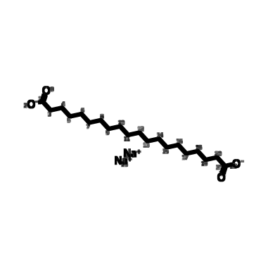 O=C([O-])CCCCCCCCCCCCCCCCCCC(=O)[O-].[Na+].[Na+]